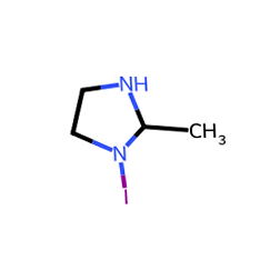 CC1NCCN1I